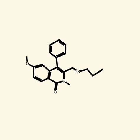 CCCNCc1c(-c2ccccc2)c2cc(OC)ccc2c(=O)n1C